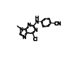 Cn1cnc2c(Cl)nc(Nc3ccc(C#N)cc3)nc21